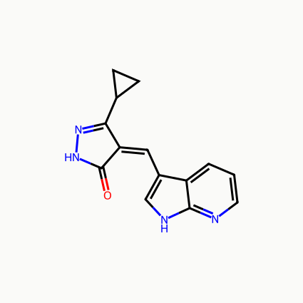 O=C1NN=C(C2CC2)/C1=C/c1c[nH]c2ncccc12